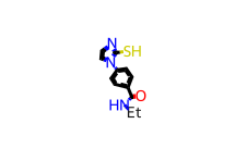 CCNC(=O)c1ccc(-n2ccnc2S)cc1